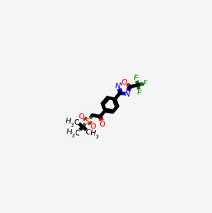 CC(C)(C)S(=O)(=O)CC(=O)c1ccc(-c2noc(C(F)(F)F)n2)cc1